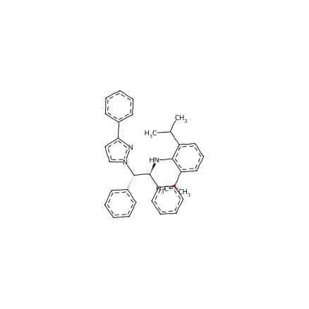 CC(C)c1cccc(C(C)C)c1N[C@@H](c1ccccc1)[C@H](c1ccccc1)n1ccc(-c2ccccc2)n1